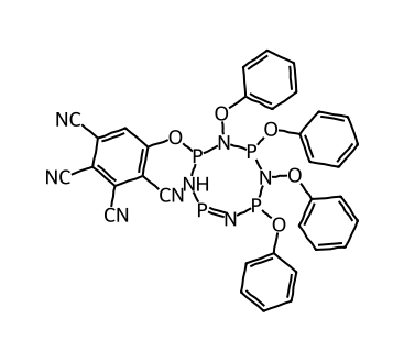 N#Cc1cc(Op2[nH]pnp(Oc3ccccc3)n(Oc3ccccc3)p(Oc3ccccc3)n2Oc2ccccc2)c(C#N)c(C#N)c1C#N